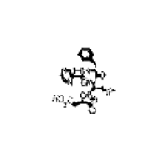 CC(C)C[C@H](NC(=O)[C@H](Cc1ccccc1)NC(=O)c1cnccn1)B1OC(=O)C(CC(=O)O)O1